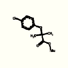 CCCCOC(=O)C(C)(C)Oc1ccc(Cl)cc1